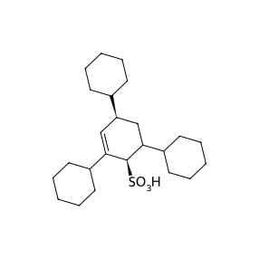 O=S(=O)(O)[C@H]1C(C2CCCCC2)=C[C@@H](C2CCCCC2)CC1C1CCCCC1